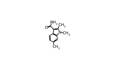 Cc1ccc2c(C(N)=O)c(C)n(C)c2c1